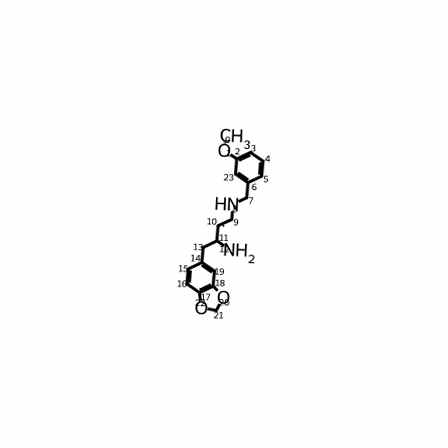 COc1cccc(CNC[CH]C(N)Cc2ccc3c(c2)OCO3)c1